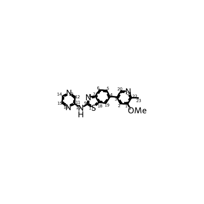 COc1cc(-c2ccc3nc(Nc4cnccn4)sc3c2)cnc1C